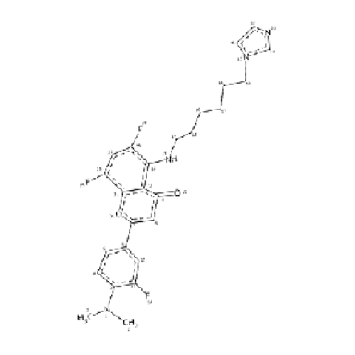 CN(C)c1ccc(-c2cc(=O)c3c(NCCCCCCn4ccnc4)c(F)cc(F)c3o2)cc1F